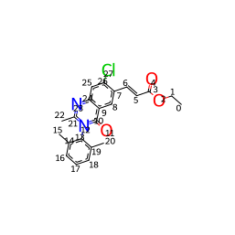 CCOC(=O)C=Cc1cc2c(=O)n(-c3c(C)cccc3C)c(C)nc2cc1Cl